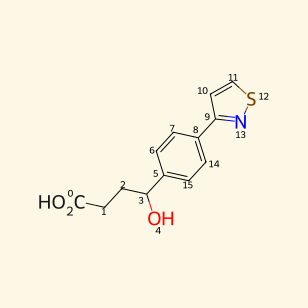 O=C(O)CCC(O)c1ccc(-c2ccsn2)cc1